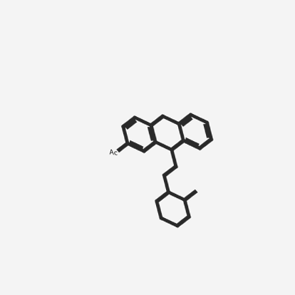 CC(=O)c1ccc2c(c1)C(CCC1CCCCC1C)c1ccccc1C2